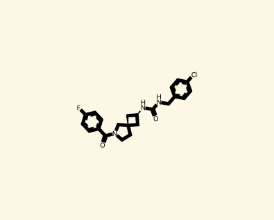 O=C(NCc1ccc(Cl)cc1)N[C@H]1C[C@]2(CCN(C(=O)c3ccc(F)cc3)C2)C1